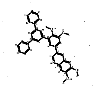 COc1cc2cc(-c3cc(OC)c(OC)c(-c4cc(-c5ccccc5)cc(-c5ccccc5)c4)c3)cnc2cc1OC